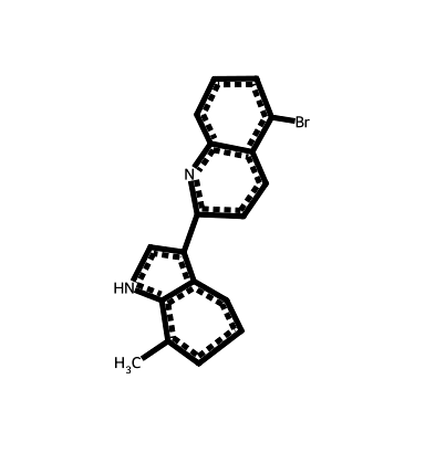 Cc1cccc2c(-c3ccc4c(Br)cccc4n3)c[nH]c12